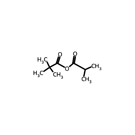 CC(C)C(=O)OC(=O)C(C)(C)C